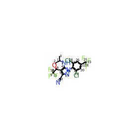 CC(C)Nc1c(C(=O)C(F)(F)F)c(C#N)nn1-c1c(Cl)cc(C(F)(F)F)cc1Cl